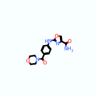 NC(=O)c1coc(Nc2ccc(C(=O)N3CCOCC3)cc2)n1